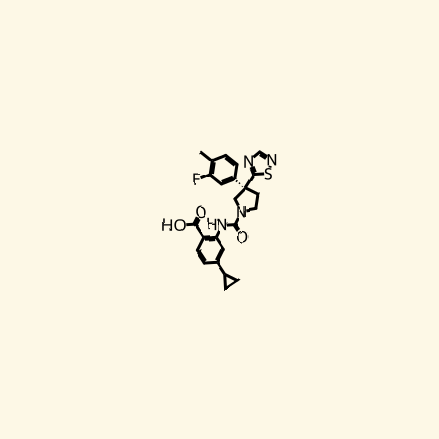 Cc1ccc([C@]2(c3ncns3)CCN(C(=O)Nc3cc(C4CC4)ccc3C(=O)O)C2)cc1F